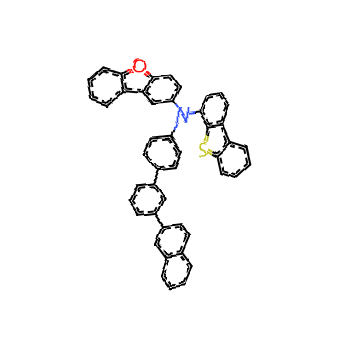 c1cc(-c2ccc(N(c3ccc4oc5ccccc5c4c3)c3cccc4c3sc3ccccc34)cc2)cc(-c2ccc3ccccc3c2)c1